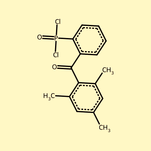 Cc1cc(C)c(C(=O)c2ccccc2P(=O)(Cl)Cl)c(C)c1